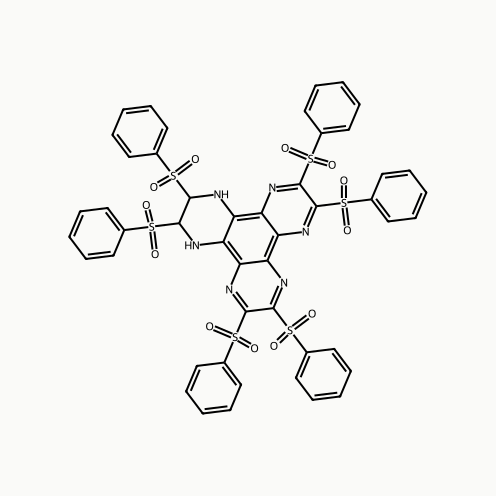 O=S(=O)(c1ccccc1)c1nc2c3c(c4nc(S(=O)(=O)c5ccccc5)c(S(=O)(=O)c5ccccc5)nc4c2nc1S(=O)(=O)c1ccccc1)NC(S(=O)(=O)c1ccccc1)C(S(=O)(=O)c1ccccc1)N3